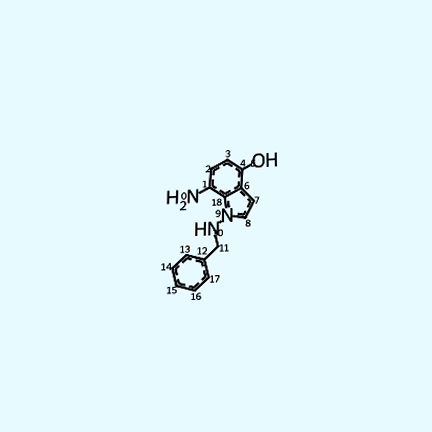 Nc1ccc(O)c2ccn(NCc3ccccc3)c12